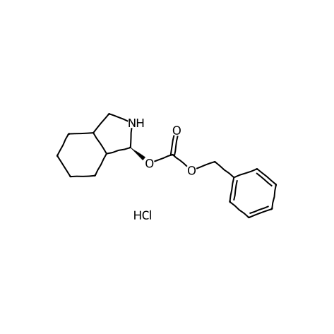 Cl.O=C(OCc1ccccc1)O[C@@H]1NCC2CCCCC21